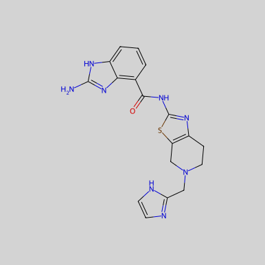 Nc1nc2c(C(=O)Nc3nc4c(s3)CN(Cc3ncc[nH]3)CC4)cccc2[nH]1